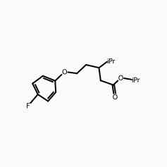 CC(C)OC(=O)CC(CCOc1ccc(F)cc1)C(C)C